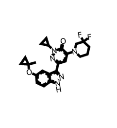 CC1(Oc2ccc3[nH]nc(-c4cc(N5CCCC(F)(F)C5)c(=O)n(C5CC5)n4)c3c2)CC1